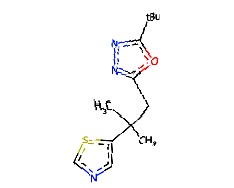 CC(C)(C)c1nnc(CC(C)(C)c2cncs2)o1